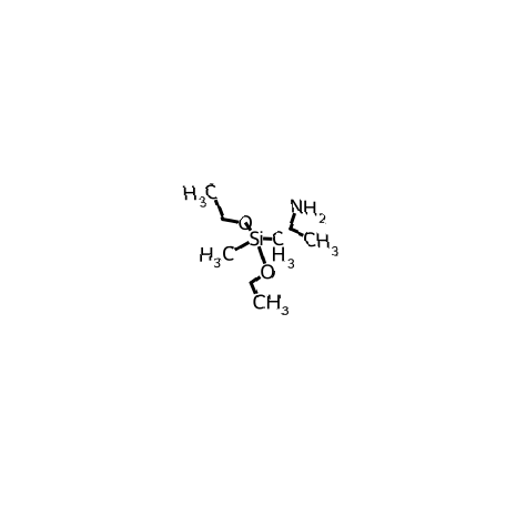 CCN.CCO[Si](C)(C)OCC